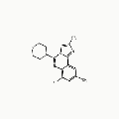 Cc1cc(Br)c2nc(N3CCOCC3)n3cc(C(F)(F)F)nc3c2c1